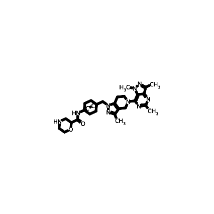 Cc1nc(N2CCc3c(c(C)nn3CC34CCC(NC(=O)C5CNCCO5)(CC3)CC4)C2)c2c(n1)c(C)nn2C